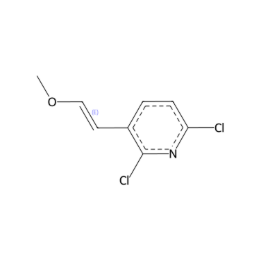 CO/C=C/c1ccc(Cl)nc1Cl